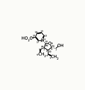 C=C[C@@H]1[C@H](C=C)[C@@H](CO)O[C@H]1[n+]1cccc(C(=O)O)c1